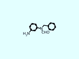 Nc1c[c]cc(N(C=O)Cc2ccccc2)c1